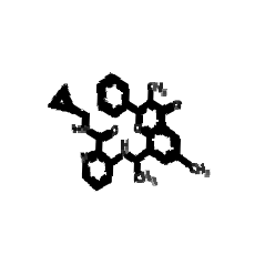 Cc1cc(C(C)Nc2cccnc2C(=O)NCC2CC2)c2oc(-c3ccccc3)c(C)c(=O)c2c1